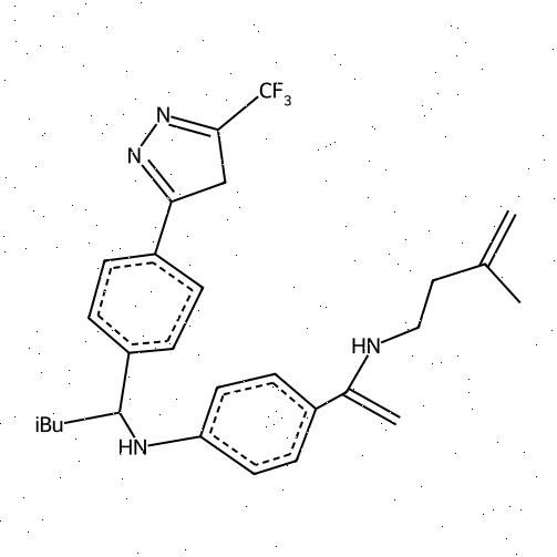 C=C(C)CCNC(=C)c1ccc(NC(c2ccc(C3=NN=C(C(F)(F)F)C3)cc2)C(C)CC)cc1